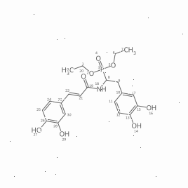 CCOP(=O)(OCC)C(Cc1ccc(O)c(O)c1)NC(=O)/C=C/c1ccc(O)c(O)c1